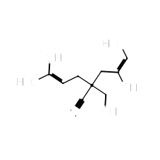 CC=C(C)CC(C#N)(CC)CC=C(C)C